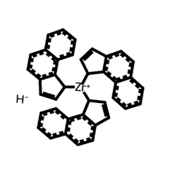 C1=C[CH]([Zr+]([CH]2C=Cc3ccc4ccccc4c32)[CH]2C=Cc3ccc4ccccc4c32)c2c1ccc1ccccc21.[H-]